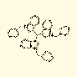 c1ccc(Cn2cc([C](c3cn(Cc4ccccc4)c4ccccc34)c3cn(Cc4ccccc4)c4ccccc34)c3ccccc32)cc1